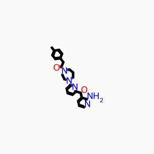 Cc1ccc(CC(=O)N2CCCN(c3cccc(C(=O)c4cccnc4N)n3)CC2)cc1